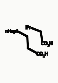 CC(C)CC(=O)O.CCCCCCCCCC(=O)O